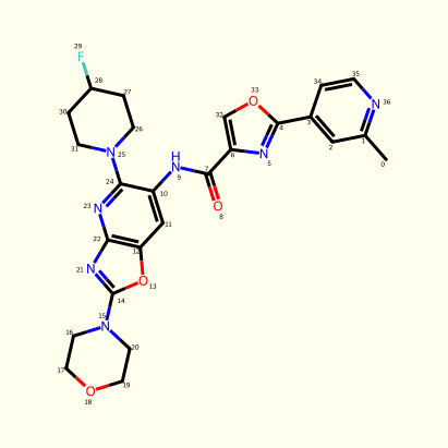 Cc1cc(-c2nc(C(=O)Nc3cc4oc(N5CCOCC5)nc4nc3N3CCC(F)CC3)co2)ccn1